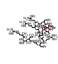 CC[C@H](C)[C@H](NC(=O)[C@@H](C)CCCNC(=N)N)C(=O)C[C@@H](CCC(=O)O)C(=O)NCC(=O)C[C@@H](CC(C)C)C(=O)N[C@@H](CCCNC(=N)N)C(=O)C[C@@H](CCCCN)C(=O)N[C@@H](CCCNC(=N)N)C(=O)C[C@@H](CCCNC(=N)N)C(=O)N[C@@H](CCCNC(=N)N)CC[C@@H](CC(C)C)C(=O)N[C@@H](CC(C)C)C(=O)C[C@@H](CO)C(N)=O